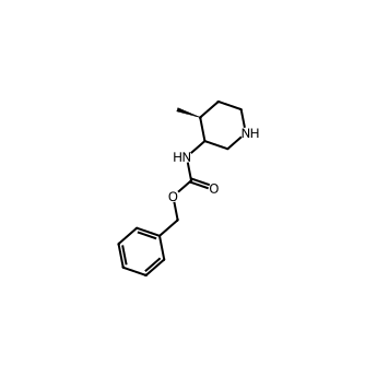 C[C@H]1CCNCC1NC(=O)OCc1ccccc1